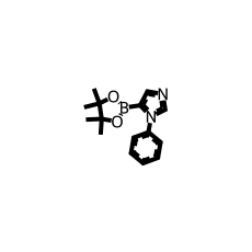 CC1(C)OB(c2cncn2-c2ccccc2)OC1(C)C